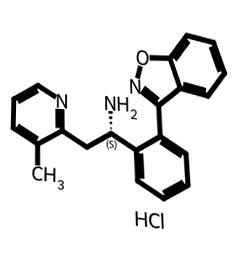 Cc1cccnc1C[C@H](N)c1ccccc1-c1noc2ccccc12.Cl